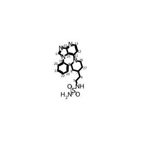 NS(=O)(=O)NCCC1CCN(c2ccnc3ncn(-c4ccccc4)c23)CC1